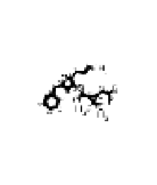 CC=CCc1oc(Cc2ccccc2)cc1OC(=O)C1C(C=C(F)F)C1(C)C